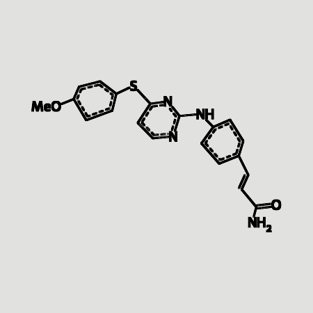 COc1ccc(Sc2ccnc(Nc3ccc(C=CC(N)=O)cc3)n2)cc1